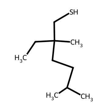 CCC(C)(CS)CCC(C)C